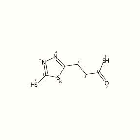 O=C(S)CCc1nnc(S)s1